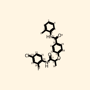 Cc1ccccc1NC(=O)c1ccc(OC(C)C(=O)Nc2ccc(Cl)cc2F)cc1